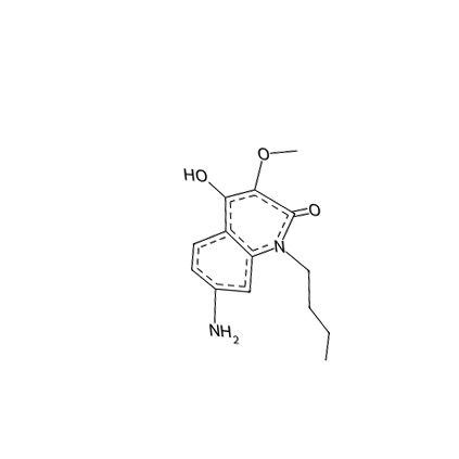 CCCCn1c(=O)c(OC)c(O)c2ccc(N)cc21